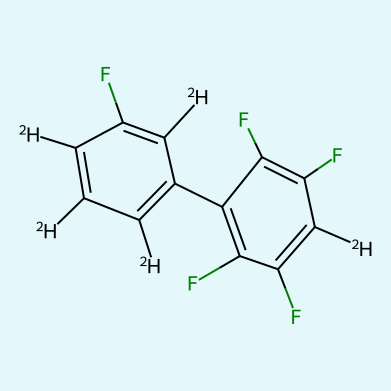 [2H]c1c([2H])c(F)c([2H])c(-c2c(F)c(F)c([2H])c(F)c2F)c1[2H]